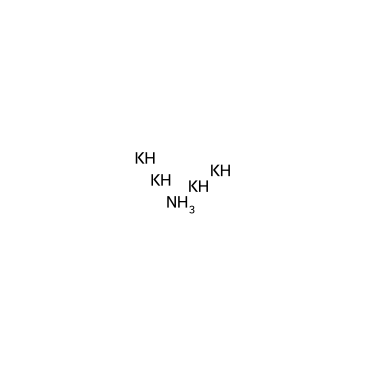 N.[KH].[KH].[KH].[KH]